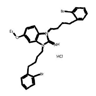 CCOc1ccc2c(c1)n(CCCCc1ccccc1Br)c(=N)n2CCCCc1ccccc1Br.Cl